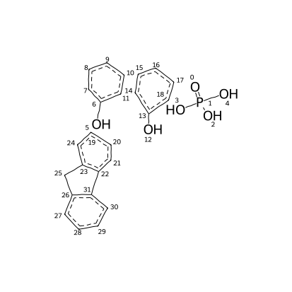 O=P(O)(O)O.Oc1ccccc1.Oc1ccccc1.c1ccc2c(c1)Cc1ccccc1-2